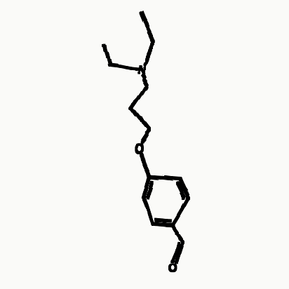 CCN(CC)CCCOc1ccc(C=O)cc1